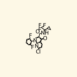 O=C(N[C@H](C1CC1)C(F)(F)F)c1cn(-c2c(F)cccc2F)c2nc(Cl)ccc2c1=O